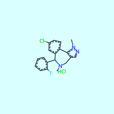 CN1Cc2cnn(C)c2-c2ccc(Cl)cc2C1c1ccccc1F.Cl